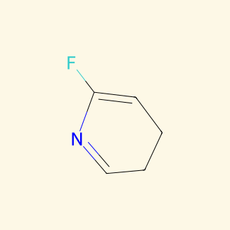 FC1=CCCC=N1